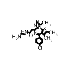 Cc1sc2c(c1C)C(c1ccc(Cl)cc1)=NC(CC(=O)NCCN)c1nnc(C)n1-2